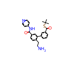 CC(C)(C)SC(=O)c1cccc(-c2cc(C(=O)Nc3ccncc3)ccc2CCN)c1